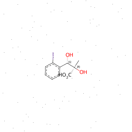 C[C@](O)(C(=O)O)[C@@H](O)c1ccccc1I